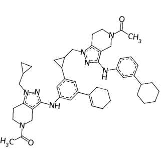 CC(=O)N1CCc2c(c(Nc3cc(C4=CCCCC4)cc(C4CC4Cn4nc(Nc5cccc(C6CCCCC6)c5)c5c4CCN(C(C)=O)C5)c3)nn2CC2CC2)C1